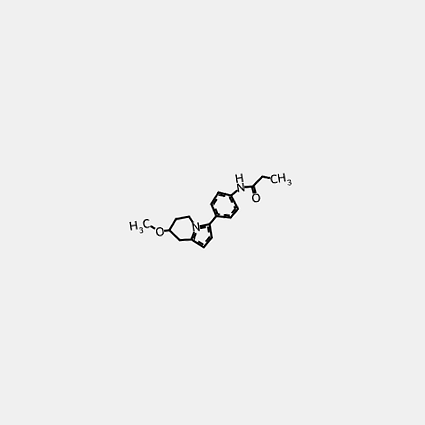 CCC(=O)Nc1ccc(-c2ccc3n2CCC(OC)C3)cc1